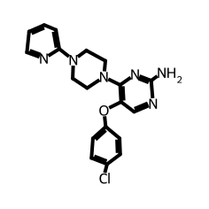 Nc1ncc(Oc2ccc(Cl)cc2)c(N2CCN(c3ccccn3)CC2)n1